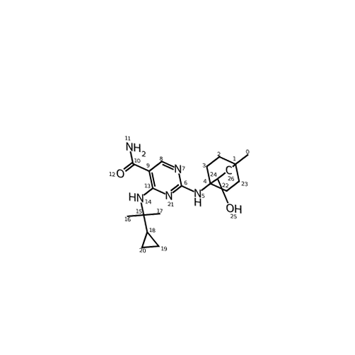 CC12CCC(Nc3ncc(C(N)=O)c(NC(C)(C)C4CC4)n3)(CC1)C(O)C2